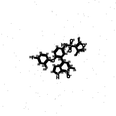 Cc1noc(C)c1S(=O)(=O)Nc1ccc(Oc2ccc(F)cc2F)c(-c2cc(C)[n+]([O-])c3[nH]ccc23)c1